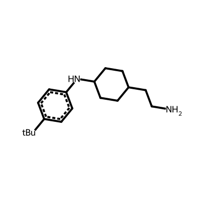 CC(C)(C)c1ccc(NC2CCC(CCN)CC2)cc1